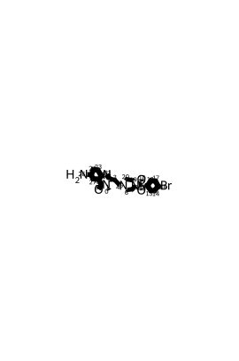 Cn1c(CCN2CCN(S(=O)(=O)c3ccc(Br)cc3)CC2)nc2ccc(N)cc2c1=O